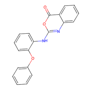 O=c1oc(Nc2ccccc2Oc2ccccc2)nc2ccccc12